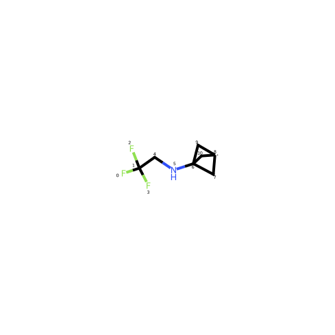 FC(F)(F)CNC12C[C](C1)C2